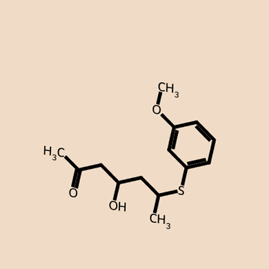 COc1cccc(SC(C)CC(O)CC(C)=O)c1